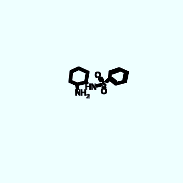 NC1CCCC[C@@H]1NS(=O)(=O)c1ccccc1